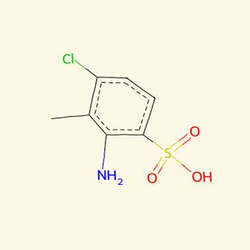 Cc1c(Cl)ccc(S(=O)(=O)O)c1N